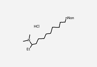 CCCCCCCCCCCCCCCCCCC(CC)N(C)C.Cl